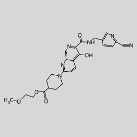 COCCOC(=O)C1CCN(c2ccc3c(O)c(C(=O)NCc4ccc(C#N)nc4)ncc3n2)CC1